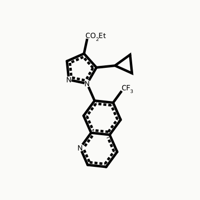 CCOC(=O)c1cnn(-c2cc3ncccc3cc2C(F)(F)F)c1C1CC1